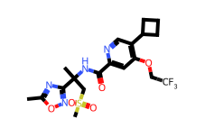 Cc1nc(C(C)(CS(C)(=O)=O)NC(=O)c2cc(OCC(F)(F)F)c(C3CCC3)cn2)no1